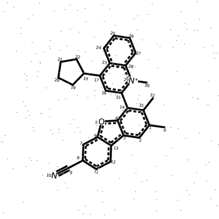 Cc1cc2c(oc3cc(C#N)ccc32)c(-c2cc(C3CCCC3)c3ccccc3[n+]2C)c1C